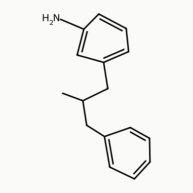 CC(Cc1ccccc1)Cc1cccc(N)c1